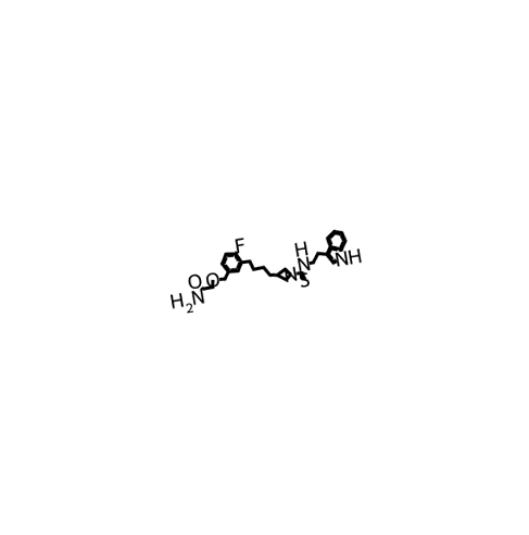 NC(=O)COCc1ccc(F)c(CCCCC2CN(C(=S)NCCc3c[nH]c4ccccc34)C2)c1